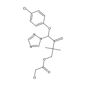 CC(C)(COC(=O)CCl)C(=O)C(Oc1ccc(Cl)cc1)n1cncn1